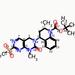 C[C@H]1C[C@H](N2Cc3cnc(S(C)(=O)=O)nc3N(C)C2=O)c2ccccc2N1C(=O)OC(C)(C)C